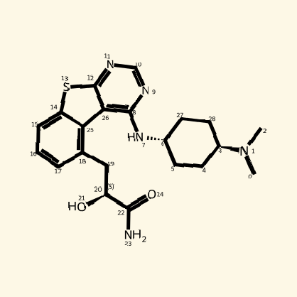 CN(C)[C@H]1CC[C@H](Nc2ncnc3sc4cccc(C[C@H](O)C(N)=O)c4c23)CC1